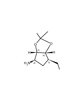 CC[C@H]1C[C@@H](N)[C@@H]2OC(C)(C)O[C@H]12